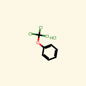 Cl.ClC(Cl)(Cl)Oc1ccccc1